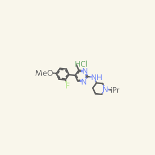 COc1ccc(-c2cnc(NC3CCCN(C(C)C)C3)nc2C)c(F)c1.Cl